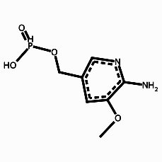 COc1cc(CO[PH](=O)O)cnc1N